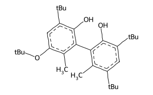 Cc1c(OC(C)(C)C)cc(C(C)(C)C)c(O)c1-c1c(C)c(C(C)(C)C)cc(C(C)(C)C)c1O